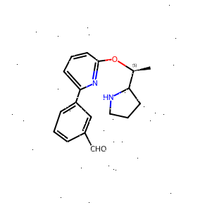 C[C@H](Oc1cccc(-c2cccc(C=O)c2)n1)C1CCCN1